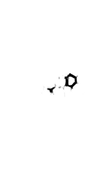 Cc1cccc(C)c1NNC(N)=O